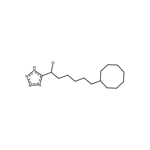 [O]C(CCCCCC1CCCCCCC1)c1nnn[nH]1